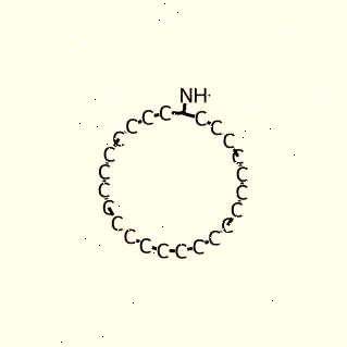 [NH]C1CCCCCCCCCCCCCCCCCCCCCCC1